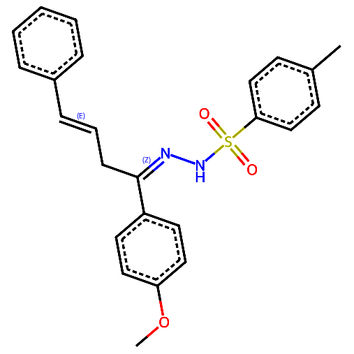 COc1ccc(/C(C/C=C/c2ccccc2)=N\NS(=O)(=O)c2ccc(C)cc2)cc1